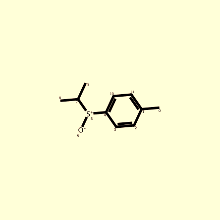 Cc1ccc([S+]([O-])C(C)C)cc1